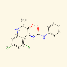 O=C(Nc1ccccc1)N[C@@H]1C(=O)[C@@H](C(=O)O)Nc2cc(Cl)cc(Cl)c21